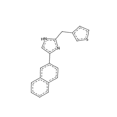 c1ccc2cc(-c3c[nH]c(Cc4ccsc4)n3)ccc2c1